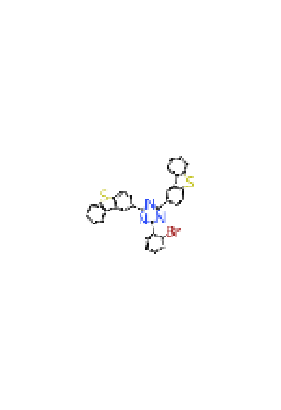 Brc1ccccc1-c1nc(-c2ccc3sc4ccccc4c3c2)nc(-c2ccc3sc4ccccc4c3c2)n1